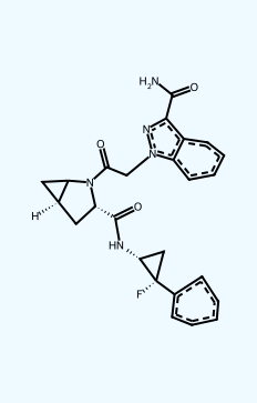 NC(=O)c1nn(CC(=O)N2C3C[C@@H]3C[C@H]2C(=O)N[C@@H]2C[C@@]2(F)c2ccccc2)c2ccccc12